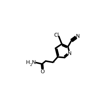 N#Cc1ncc([CH]CC(N)=O)cc1Cl